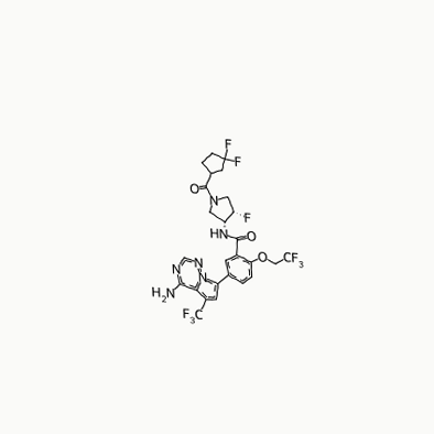 Nc1ncnn2c(-c3ccc(OCC(F)(F)F)c(C(=O)N[C@@H]4CN(C(=O)C5CCC(F)(F)C5)C[C@@H]4F)c3)cc(C(F)(F)F)c12